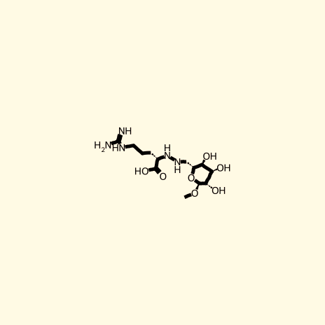 CO[C@H]1O[C@H](CNN[C@@H](CCCNC(=N)N)C(=O)O)[C@@H](O)[C@H](O)[C@@H]1O